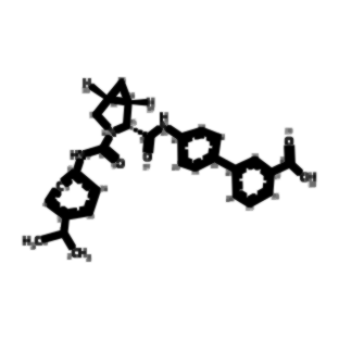 CC(C)c1ccc(NC(=O)N2C[C@@H]3C[C@@H]3[C@@H]2C(=O)Nc2ccc(-c3cccc(C(=O)O)c3)cc2)cc1